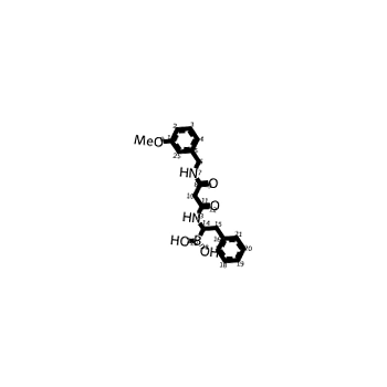 COc1cccc(CNC(=O)CC(=O)NC(Cc2ccccc2)B(O)O)c1